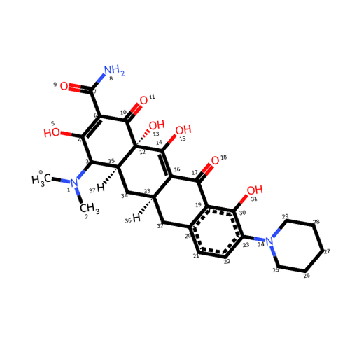 CN(C)C1C(O)=C(C(N)=O)C(=O)[C@@]2(O)C(O)=C3C(=O)c4c(ccc(N5CCCCC5)c4O)C[C@H]3C[C@@H]12